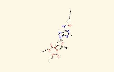 C#C[C@]1(COC(=O)OCCC)O[C@@H](n2cnc3c(NC(=O)CCCCC)nc(C)nc32)C[C@@H]1OC(=O)OCCC